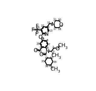 COC[C@H](C)N(c1ccc(Oc2ncc(CN3CCOCC3)cc2C(F)(F)F)cc1C=O)C(=O)[C@H]1CC[C@H](C)CC1